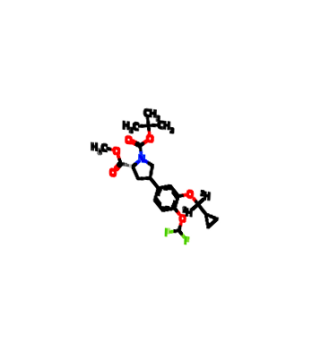 [2H]C([2H])(Oc1cc(C2C[C@H](C(=O)OC)N(C(=O)OC(C)(C)C)C2)ccc1OC(F)F)C1CC1